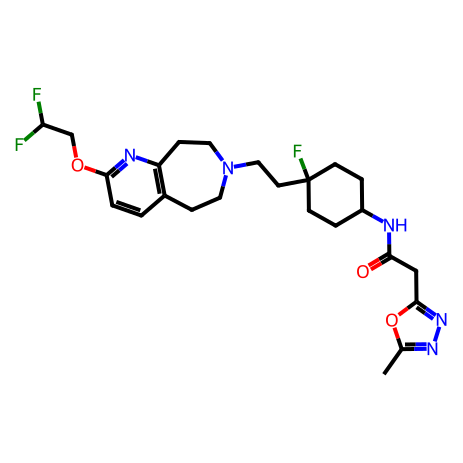 Cc1nnc(CC(=O)NC2CCC(F)(CCN3CCc4ccc(OCC(F)F)nc4CC3)CC2)o1